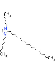 CCCCCCCCCCCCCCCCCC1N(CCCCC)C=CN1CCCCCCC